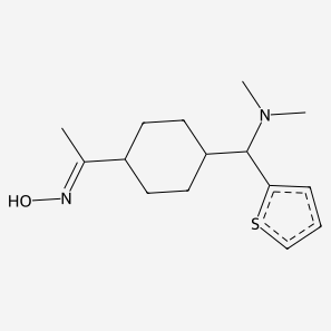 CC(=NO)C1CCC(C(c2cccs2)N(C)C)CC1